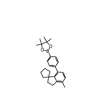 Cc1ccc(-c2ccc(B3OC(C)(C)C(C)(C)O3)cc2)c2c1CCC21CCCC1